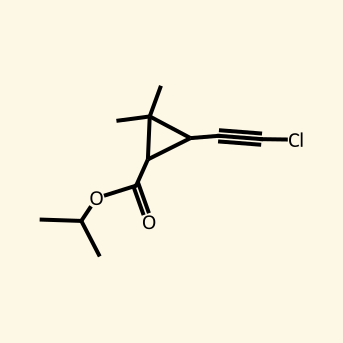 CC(C)OC(=O)C1C(C#CCl)C1(C)C